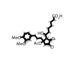 COc1ccc(CCCC2(OC(C)=O)C=C(Cl)C(=O)C2C(O)CCCCCC(=O)O)cc1OC